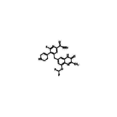 CNC(=O)c1cc(Cc2cc(OC(F)F)c3nc(C)c(=O)[nH]c3c2)c(C2=CCNCC2)c(F)n1